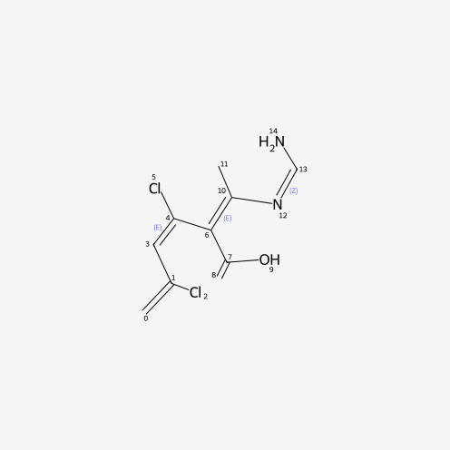 C=C(Cl)\C=C(Cl)/C(C(=C)O)=C(C)/N=C\N